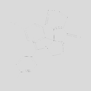 O=C(c1ccc(F)cc1)N1CCN2C(=O)c3cnccc3C12c1ccc(C(F)(F)F)cc1